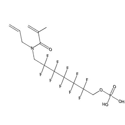 C=CCN(CC(F)(F)C(F)(F)C(F)(F)C(F)(F)C(F)(F)COP(=O)(O)O)C(=O)C(=C)C